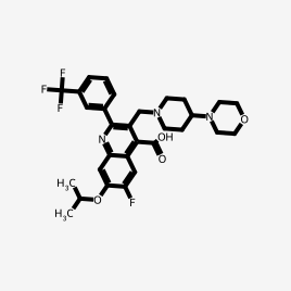 CC(C)Oc1cc2nc(-c3cccc(C(F)(F)F)c3)c(CN3CCC(N4CCOCC4)CC3)c(C(=O)O)c2cc1F